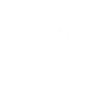 CC(C)(c1nc(-c2ccc(Cl)c(Cl)c2)cs1)n1cc(C(=O)O)cn1